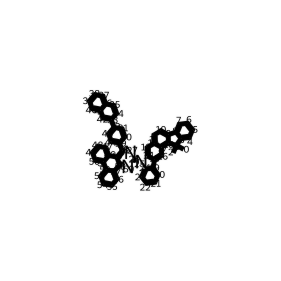 CC1(C)c2ccccc2-c2ccc3cc4c(cc3c21)c1ccccc1n4-c1nc(-c2ccc(-c3ccc4ccccc4c3)cc2)c2c3ccccc3c3ccccc3c2n1